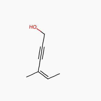 CC=C(C)C#CCO